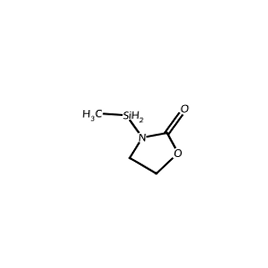 C[SiH2]N1CCOC1=O